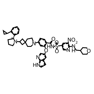 O=C(NS(=O)(=O)c1cnc(NCC2CCOCC2)c([N+](=O)[O-])c1)c1ccc(N2CCC3(CC2)CC(N2CCC[C@H]2c2ccccc2C2CC2)C3)cc1Oc1cnc2[nH]ccc2c1